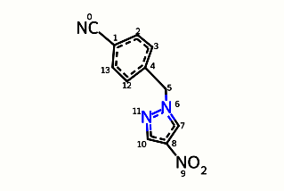 N#Cc1ccc(Cn2cc([N+](=O)[O-])cn2)cc1